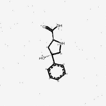 O=C(O)[C@@H]1C[C@](O)(c2ccccc2)CN1